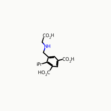 CC(C)c1c(CNCC(=O)O)cc(C(=O)O)cc1C(=O)O